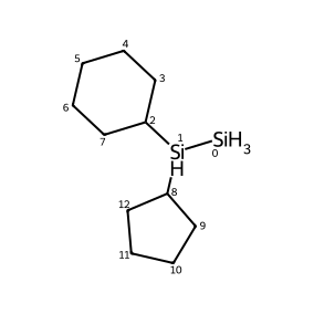 [SiH3][SiH](C1CCCCC1)C1CCCC1